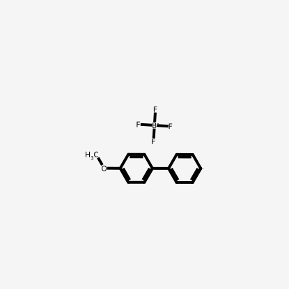 COc1ccc(-c2cc[c]cc2)cc1.F[B-](F)(F)F